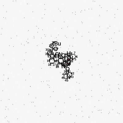 CC(C)(C)OC(=O)N1C2CCC1[C@H]1COc3c(Cl)c(-c4cccc5c4c(C#N)c4n(C(=O)OC(C)(C)C)ccn54)c(F)c4nc(OCC56CCCN5CCC6)nc(c34)N1C2